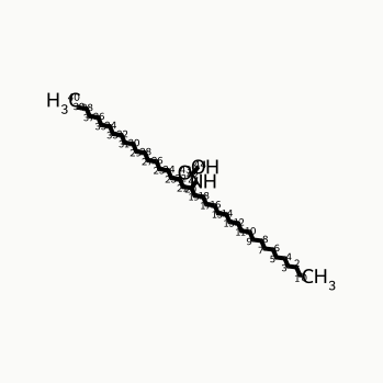 CCCCCCCCCCCCCCCCCCCCC(CCCCCCCCCCCCCCCCCCCC)NC(=O)O